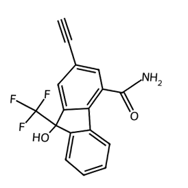 C#Cc1cc(C(N)=O)c2c(c1)C(O)(C(F)(F)F)c1ccccc1-2